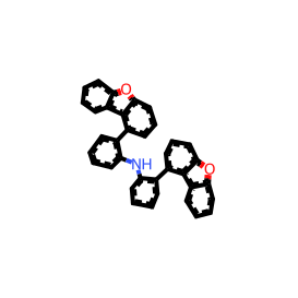 c1ccc(-c2cccc3oc4ccccc4c23)c(Nc2ccccc2-c2cccc3oc4ccccc4c23)c1